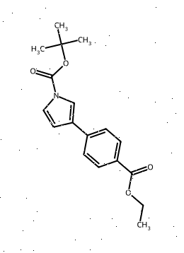 CCOC(=O)c1ccc(-c2ccn(C(=O)OC(C)(C)C)c2)cc1